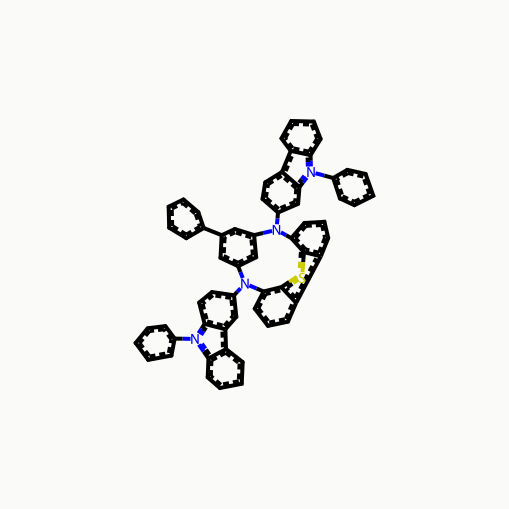 c1ccc(-c2cc3cc(c2)N(c2ccc4c5ccccc5n(-c5ccccc5)c4c2)c2cccc4c2sc2c(cccc24)N3c2ccc3c(c2)c2ccccc2n3-c2ccccc2)cc1